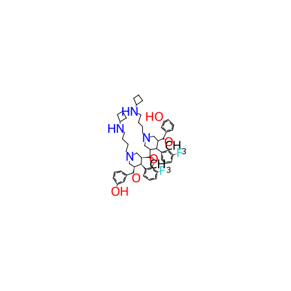 Cc1c(F)cccc1C1C(C(=O)c2cccc(O)c2)CN(CCCCNC2CCC2)CC1C(=O)[C@@H]1CN(CCCCNC2CCC2)C[C@H](C(=O)c2cccc(O)c2)[C@@H]1c1cccc(F)c1C